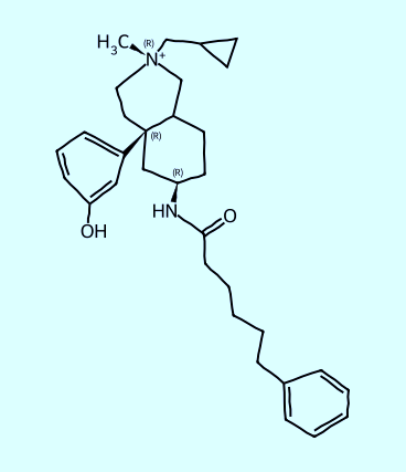 C[N@+]1(CC2CC2)CC[C@@]2(c3cccc(O)c3)C[C@H](NC(=O)CCCCCc3ccccc3)CCC2C1